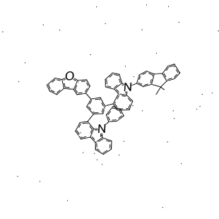 CC1(C)c2ccccc2-c2ccc(-n3c4ccccc4c4c(-c5cc(-c6ccc7oc8ccccc8c7c6)cc(-c6cccc7c8ccccc8n(-c8ccccc8)c67)c5)cccc43)cc21